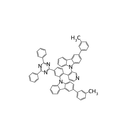 Cc1cccc(-c2ccc3c(c2)c2ccccc2n3-c2cnccc2-c2ccc(-c3nc(-c4ccccc4)nc(-c4ccccc4)n3)cc2-n2c3ccccc3c3cc(-c4cccc(C)c4)ccc32)c1